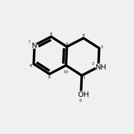 OC1NCCc2cnccc21